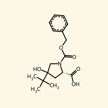 CC(C)(C)C1(O)C[C@@H](C(=O)O)N(C(=O)OCc2ccccc2)C1